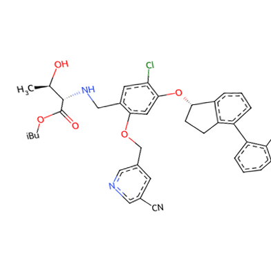 CCC(C)OC(=O)[C@@H](NCc1cc(Cl)c(O[C@H]2CCc3c(-c4ccccc4F)cccc32)cc1OCc1cncc(C#N)c1)[C@@H](C)O